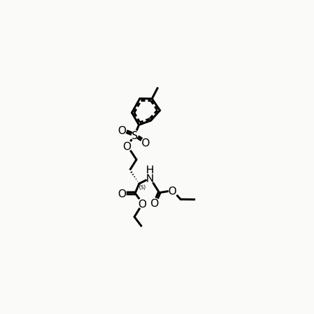 CCOC(=O)N[C@@H](CCOS(=O)(=O)c1ccc(C)cc1)C(=O)OCC